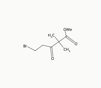 COC(=O)C(C)(C)C(=O)CCBr